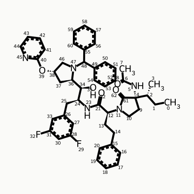 CC[C@@H](C)[C@@]1(NC(C)=O)CCN([C@@H](CCc2ccccc2)C(=O)N[C@@H](Cc2cc(F)cc(F)c2)[C@H](O)[C@H]2C[C@H](Oc3ccccn3)CN2C(c2ccccc2)c2ccccc2)C1=O